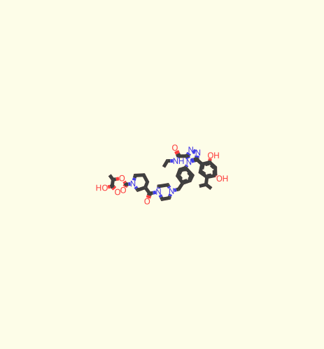 CCNC(=O)c1nnc(-c2cc(C(C)C)c(O)cc2O)n1-c1ccc(CN2CCN(C(=O)C3CCCN(C(=O)OC(C)C(=O)O)C3)CC2)cc1